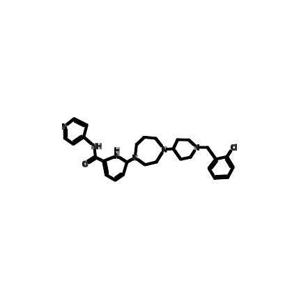 O=C(Nc1ccncc1)C1=CC=CC(N2CCCN(C3CCN(Cc4ccccc4Cl)CC3)CC2)N1